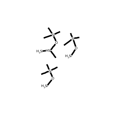 C[SiH]([SiH3])O[Si](C)(C)C.C[Si](C)(C)O[SiH3].C[Si](C)(C)O[SiH3]